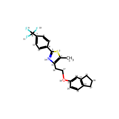 Cc1sc(-c2ccc(C(F)(F)F)cc2)nc1CCOc1ccc2c(c1)CCC2